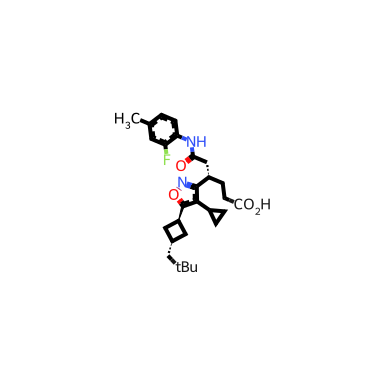 Cc1ccc(NC(=O)C[C@H](CCC(=O)O)c2noc([C@H]3C[C@H](CC(C)(C)C)C3)c2C2CC2)c(F)c1